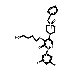 O=c1c(OCCCCO)c(N2CC[SH](=O)(Cc3ccccc3)CC2)cnn1-c1cc(F)cc(F)c1